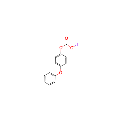 O=C(OI)Oc1ccc(Oc2ccccc2)cc1